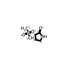 CS(C)(=O)=O.O=C1CCCN1